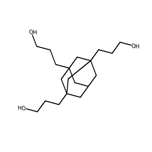 OCCCC12CC3CC(CCCO)(C1)CC(CCCO)(C3)C2